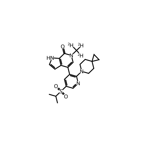 [2H]C([2H])([2H])n1cc(-c2cc(S(=O)(=O)C(C)C)cnc2N2CCC3(CC2)CC3)c2cc[nH]c2c1=O